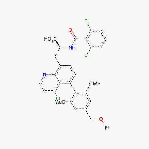 CCOCc1cc(OC)c(-c2ccc(C[C@H](NC(=O)c3c(F)cccc3F)C(=O)O)c3nccc(Cl)c23)c(OC)c1